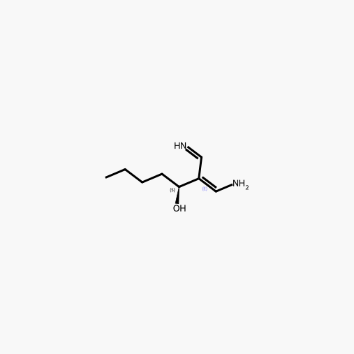 CCCC[C@H](O)/C(C=N)=C/N